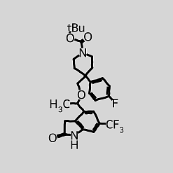 CC(OCC1(c2ccc(F)cc2)CCN(C(=O)OC(C)(C)C)CC1)c1cc(C(F)(F)F)cc2c1CC(=O)N2